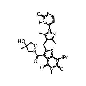 Cc1nn(-c2ccnc(=O)[nH]2)c(C)c1Cc1sc2c(c1C(=O)N1CC(C)(O)CO1)c(=O)n(C)c(=O)n2C(C)C